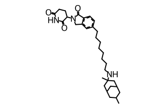 CC1CC2CC(C1)CC(C)(NCCCCCCCCc1ccc3c(c1)CN(C1CCC(=O)NC1=O)C3=O)C2